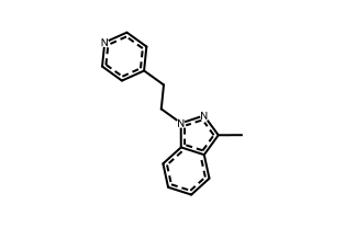 Cc1nn(CCc2ccncc2)c2ccccc12